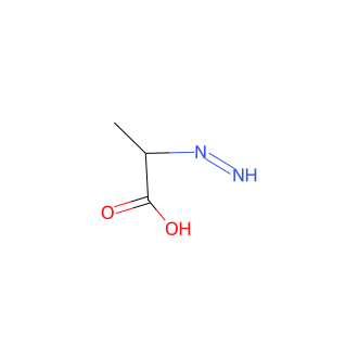 CC(N=N)C(=O)O